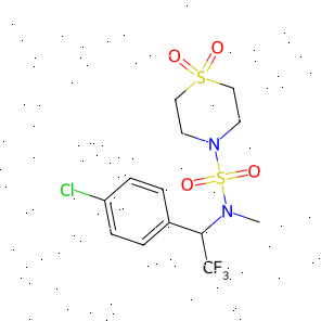 CN(C(c1ccc(Cl)cc1)C(F)(F)F)S(=O)(=O)N1CCS(=O)(=O)CC1